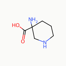 NC1(C(=O)O)CCCNC1